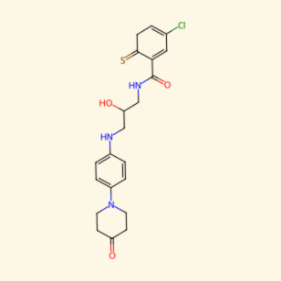 O=C1CCN(c2ccc(NCC(O)CNC(=O)C3=CC(Cl)=CCC3=S)cc2)CC1